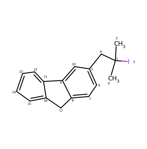 CC(C)(I)Cc1ccc2c(c1)-c1ccccc1C2